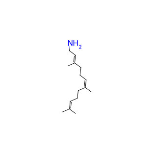 CC(C)=CCCC(C)=CCC/C(C)=C/CN